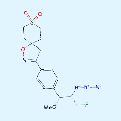 CO[C@H](c1ccc(C2=NOC3(CCS(=O)(=O)CC3)C2)cc1)[C@@H](CF)N=[N+]=[N-]